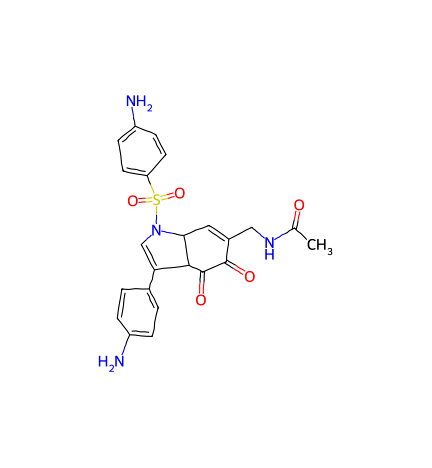 CC(=O)NCC1=CC2C(C(=O)C1=O)C(c1ccc(N)cc1)=CN2S(=O)(=O)c1ccc(N)cc1